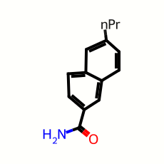 CCCc1ccc2cc(C(N)=O)ccc2c1